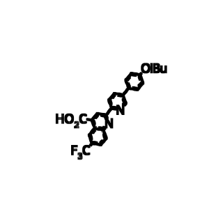 CC(C)COc1ccc(-c2ccc(-c3cc(C(=O)O)c4cc(C(F)(F)F)ccc4n3)nc2)cc1